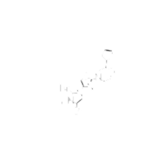 CN1C(Br)=CN(c2csc(N3CCOC(C4CC=CS4)C3)n2)C1Br